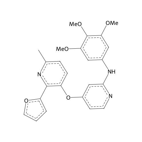 COc1cc(Nc2cc(Oc3ccc(C)nc3-c3ccco3)ccn2)cc(OC)c1OC